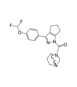 O=C(N1CCN2CCC1CC2)n1nc(-c2ccc(OC(F)F)cc2)c2c1CCC2